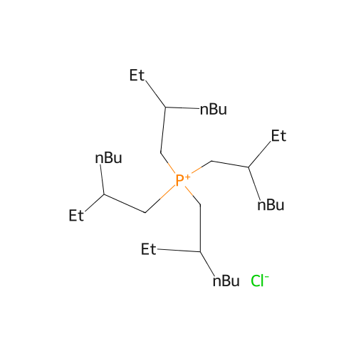 CCCCC(CC)C[P+](CC(CC)CCCC)(CC(CC)CCCC)CC(CC)CCCC.[Cl-]